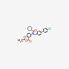 C=C1OC(=O)c2cc(N(Cc3ccc(-c4ccc(Cl)cc4)cc3)C(=O)C3CCCCC3)ccc2O1